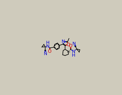 Cc1nc(-c2ccc(C(=O)NC3(C#N)CC3)cc2)c(C2CCCC[C@H]2C(=O)NC2(C#N)CC2)o1